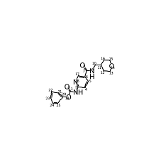 O=C(Nc1ccc(C(=O)NCC2CCOCC2)cn1)Oc1ccccc1